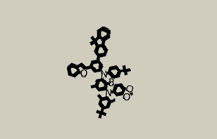 Cc1cc2c3c(c1)N(c1c(C)cc(C(C)(C)C)cc1C)c1cc4c(cc1B3c1cc(C(C)(C)C)ccc1N2c1cc(-c2ccc3c(c2)C(C)(C)c2ccccc2-3)cc(-c2cc3ccccc3o2)c1)OCO4